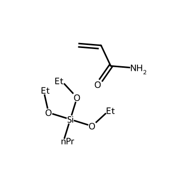 C=CC(N)=O.CCC[Si](OCC)(OCC)OCC